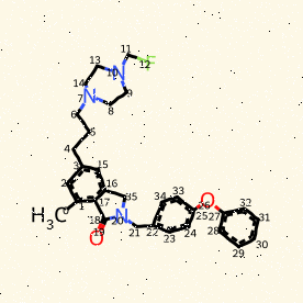 Cc1cc(CCCN2CCN(CF)CC2)cc2c1C(=O)N(Cc1ccc(Oc3ccccc3)cc1)C2